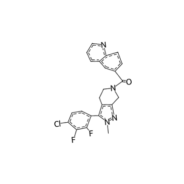 Cn1nc2c(c1-c1ccc(Cl)c(F)c1F)CCN(C(=O)c1ccc3ncccc3c1)C2